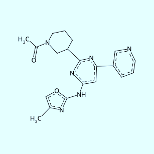 CC(=O)N1CCCC(c2nc(Nc3nc(C)co3)cc(-c3cccnc3)n2)C1